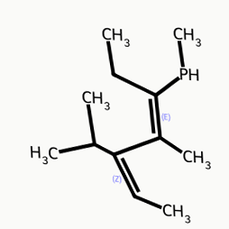 C/C=C(\C(C)=C(/CC)PC)C(C)C